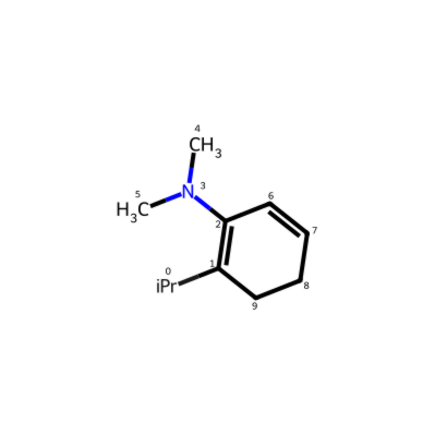 CC(C)C1=C(N(C)C)C=CCC1